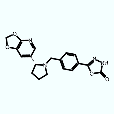 O=c1[nH]nc(-c2ccc(CN3CCC[C@@H]3c3cnc4c(c3)OCO4)cc2)o1